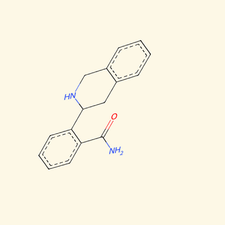 NC(=O)c1ccccc1C1Cc2ccccc2CN1